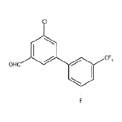 O=Cc1cc(Cl)cc(-c2cc(F)cc(C(F)(F)F)c2)c1